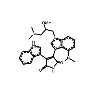 COC(CN(C)C)Cn1cc(C2=C(c3c[nH]c4ccccc34)C(=O)NC2=O)c2c(N(C)C)cccc21